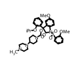 COc1ccc2c(c1)C(OC(=O)N1CCC(N3CCN(C)CC3)CC1)(c1ccccc1OC(C)C)C(=O)N2S(=O)(=O)c1ccccc1OC